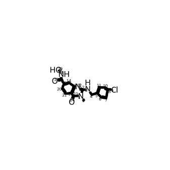 Cn1c(NCc2ccc(Cl)cc2)nc2cc(C(=O)NO)ccc2c1=O